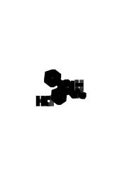 CNCc1ncc(-c2ccccc2)c2ccccc12.Cl